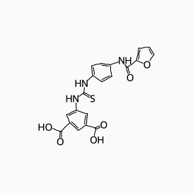 O=C(O)c1cc(NC(=S)Nc2ccc(NC(=O)c3ccco3)cc2)cc(C(=O)O)c1